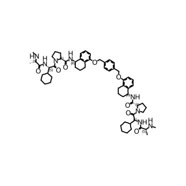 CN[C@@H](C)C(=O)N[C@H](C(=O)N1CCC[C@H]1C(=O)N[C@@H]1CCCc2c(OCc3ccc(COc4cccc5c4CCC[C@H]5NC(=O)[C@@H]4CCCN4C(=O)[C@@H](NC(=O)[C@H](C)NC)C4CCCCC4)cc3)cccc21)C1CCCCC1